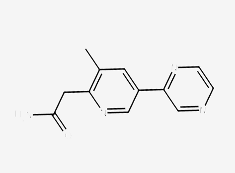 Cc1cc(-c2cnccn2)cnc1CC(N)=O